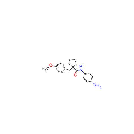 COc1ccc(CC2(C(=O)Nc3ccc(N)cc3)CCCC2)cc1